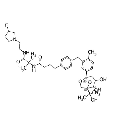 Cc1ccc([C@]23CC(O)[C@H](O)[C@](C(C)(C)O)(CO2)O3)cc1Cc1ccc(CCCC(=O)NC(C)(C)C(=O)NCCN2CCC(F)C2)cc1